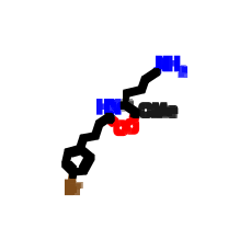 COC(=O)[C@H](CCCCN)NC(=O)CCCc1ccc(Br)cc1